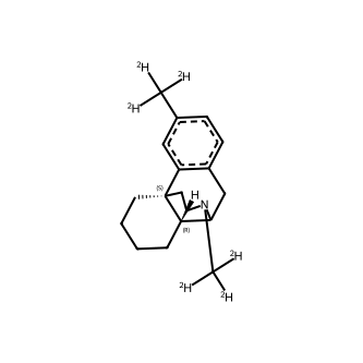 [2H]C([2H])([2H])c1ccc2c(c1)[C@]13CCCC[C@H]1C(C2)N(C([2H])([2H])[2H])CC3